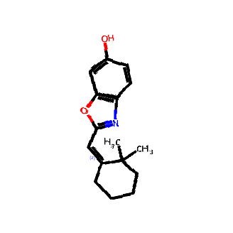 CC1(C)CCCC/C1=C/c1nc2ccc(O)cc2o1